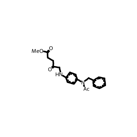 COC(=O)CCC(=O)CNc1ccc(N(Cc2ccccc2)C(C)=O)cc1